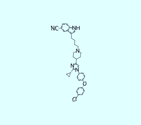 N#Cc1ccc2[nH]cc(CCCCN3CCC(c4cn(-c5ccc(Oc6ccc(Cl)cc6)cc5)c(C5CC5)n4)CC3)c2c1